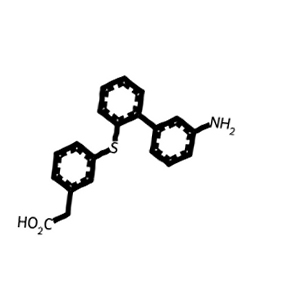 Nc1cccc(-c2ccccc2Sc2cccc(CC(=O)O)c2)c1